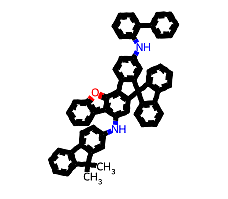 CC1(C)c2ccccc2-c2ccc(Nc3cc4c(c5oc6ccccc6c35)-c3ccc(Nc5ccccc5-c5ccccc5)cc3C43c4ccccc4-c4ccccc43)cc21